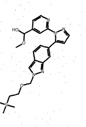 COC(O)c1ccnc(-n2nccc2-c2ccc3cn(COCC[Si](C)(C)C)nc3c2)c1